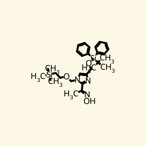 CC(=NO)c1nc(CO[Si](c2ccccc2)(c2ccccc2)C(C)(C)C)cn1COCC[Si](C)(C)C